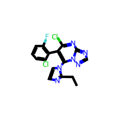 CCc1nccn1-c1c(-c2c(F)cccc2Cl)c(Cl)nc2ncnn12